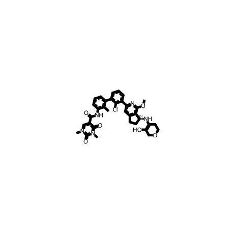 COc1nc(-c2cccc(-c3cccc(NC(=O)c4cn(C)c(=O)n(C)c4=O)c3C)c2Cl)cc2c1[C@@H](NC1=C(O)COCC1)CC2